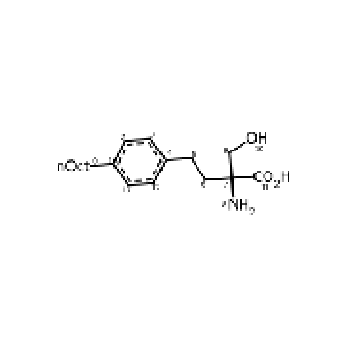 CCCCCCCCc1ccc(CCC(N)(CO)C(=O)O)cc1